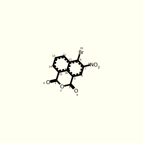 O=C1OC(=O)c2cc([N+](=O)[O-])c(Br)c3cccc1c23